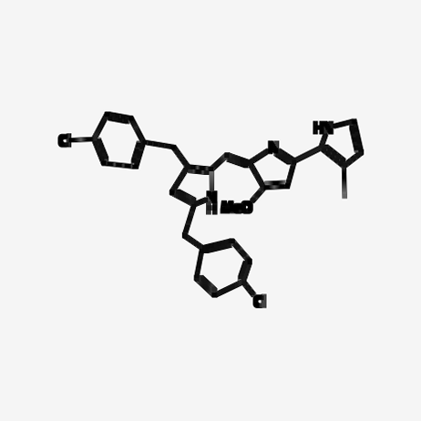 COC1=CC(c2[nH]ccc2C)=NC1=Cc1[nH]c(Cc2ccc(Cl)cc2)cc1Cc1ccc(Cl)cc1